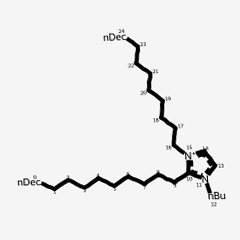 CCCCCCCCCCCCCCCCCCCc1n(CCCC)cc[n+]1CCCCCCCCCCCCCCCCCC